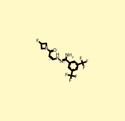 N/C(=N\N/C=C\C(=O)N1CC(F)C1)c1cc(C(F)(F)F)cc(C(F)(F)F)c1